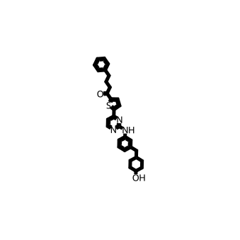 O=C(CCCc1ccccc1)c1ccc(-c2ccnc(Nc3cccc(CC4CCC(O)CC4)c3)n2)s1